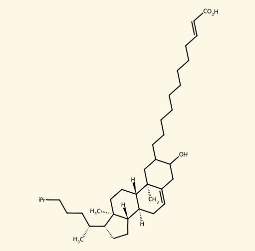 CC(C)CCC[C@@H](C)[C@H]1CC[C@H]2[C@@H]3CC=C4CC(O)C(CCCCCCCCCC=CC(=O)O)C[C@]4(C)[C@H]3CC[C@]12C